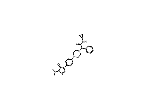 CC(C)n1ncn(-c2ccc(N3CCN(C(C(=O)NC4CC4)c4ccccc4)CC3)cc2)c1=O